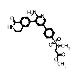 COC(=O)CN(C)S(=O)(=O)c1ccc(-c2cnc(N)c(-c3ccc4c(c3)CCNC4=O)c2)cc1